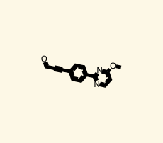 COc1ccnc(-c2ccc(C#CC=O)cc2)n1